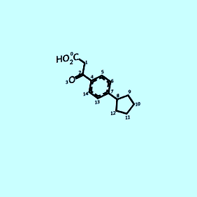 O=C(O)CC(=O)c1ccc(C2CCCC2)cc1